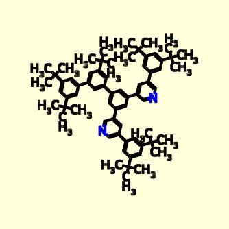 CC(C)(C)c1cc(-c2cc(-c3cncc(-c4cc(C(C)(C)C)cc(C(C)(C)C)c4)c3)cc(-c3cncc(-c4cc(C(C)(C)C)cc(C(C)(C)C)c4)c3)c2)cc(-c2cc(C(C)(C)C)cc(C(C)(C)C)c2)c1